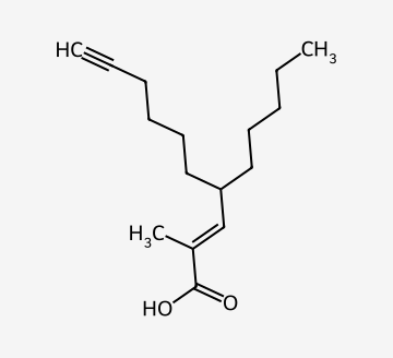 C#CCCCCC(/C=C(\C)C(=O)O)CCCCC